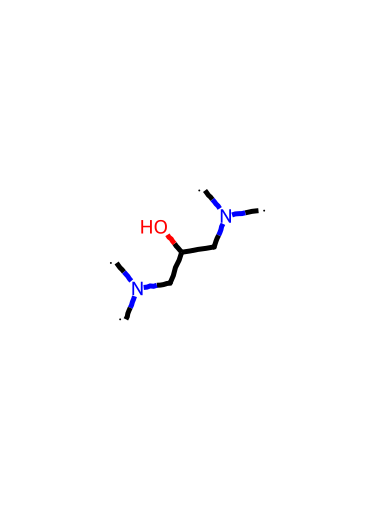 [CH2]N([CH2])CC(O)CN([CH2])[CH2]